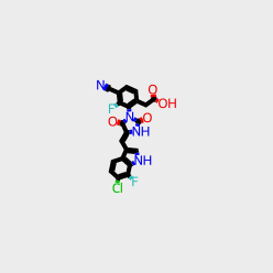 N#Cc1ccc(CC(=O)O)c(N2C(=O)N/C(=C\c3c[nH]c4c(F)c(Cl)ccc34)C2=O)c1F